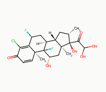 C[C@H]1C[C@H]2[C@@H]3C[C@H](F)C4=C(Cl)C(=O)C=C[C@]4(C)[C@@]3(F)[C@@H](O)C[C@]2(C)[C@@]1(O)C(=O)C(O)O